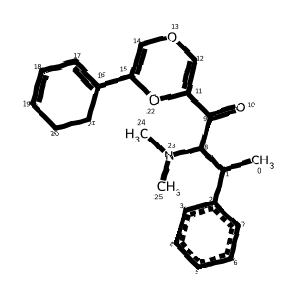 CC(c1ccccc1)C(C(=O)C1=COC=C(C2=CC=CCC2)O1)N(C)C